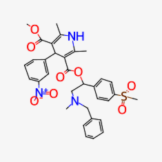 COC(=O)C1=C(C)NC(C)=C(C(=O)OC(CN(C)Cc2ccccc2)c2ccc(S(C)(=O)=O)cc2)C1c1cccc([N+](=O)[O-])c1